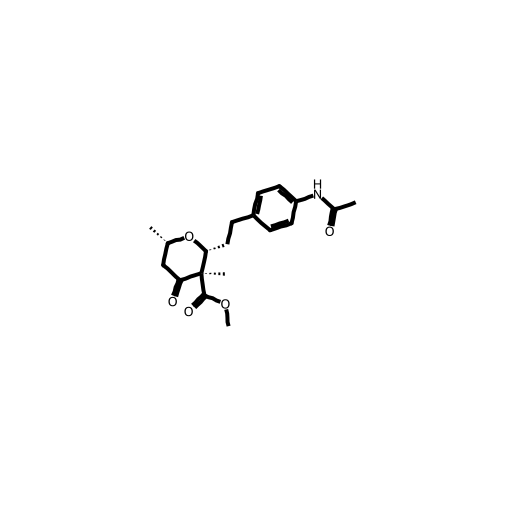 COC(=O)[C@@]1(C)C(=O)C[C@H](C)O[C@@H]1CCc1ccc(NC(C)=O)cc1